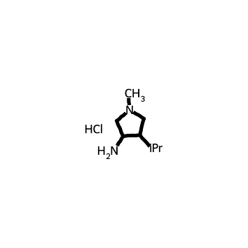 CC(C)C1CN(C)CC1N.Cl